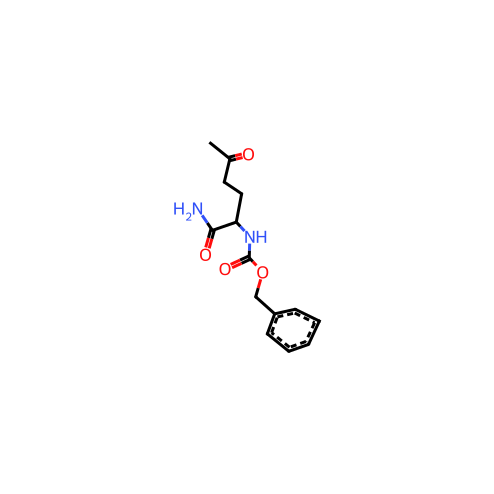 CC(=O)CCC(NC(=O)OCc1ccccc1)C(N)=O